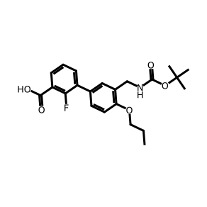 CCCOc1ccc(-c2cccc(C(=O)O)c2F)cc1CNC(=O)OC(C)(C)C